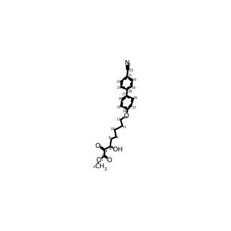 COC(=O)C(=O)C(O)CCCCCOc1ccc(-c2ccc(C#N)cc2)cc1